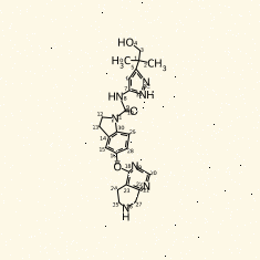 CC(C)(CO)c1cc(NC(=O)N2CCc3cc(Oc4ncnc5c4CCNC5)ccc32)[nH]n1